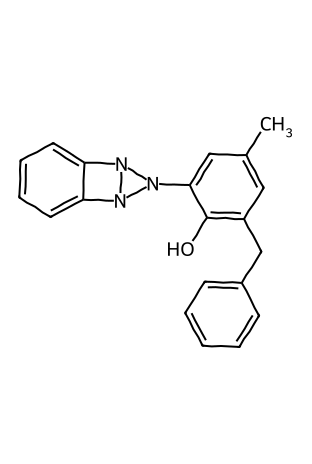 Cc1cc(Cc2ccccc2)c(O)c(-n2n3c4ccccc4n23)c1